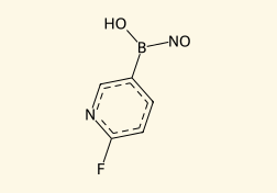 O=NB(O)c1ccc(F)nc1